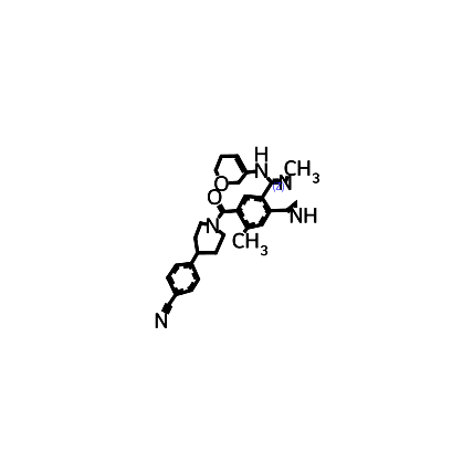 C/N=C(\NC1=CCCOC1)c1cc(C(=O)N2CCC(c3ccc(C#N)cc3)CC2)c(C)cc1C1CN1